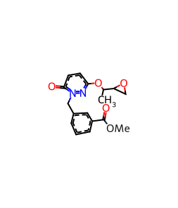 COC(=O)c1cccc(Cn2nc(OC(C)C3CO3)ccc2=O)c1